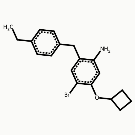 CCc1ccc(Cc2cc(Br)c(OC3CCC3)cc2N)cc1